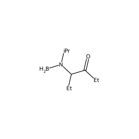 BN(C(C)C)C(CC)C(=O)CC